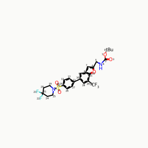 CC(C)(C)OC(=O)NCc1cc2cc(-c3ccc(S(=O)(=O)N4CCC(F)(F)CC4)cc3)cc(C(F)(F)F)c2o1